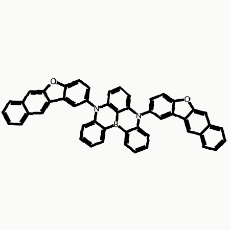 c1ccc2c(c1)B1c3ccccc3N(c3ccc4oc5cc6ccccc6cc5c4c3)c3cccc(c31)N2c1ccc2oc3cc4ccccc4cc3c2c1